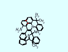 C=C/C(=N\C(N)(C(=C(c1ccccc1)c1ccccc1N)N1c2ccccc2C(C)(C)c2ccccc21)c1ccccc1)c1ccccc1